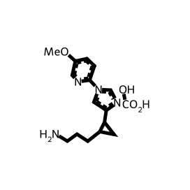 COc1ccc(-n2cnc(C3CC3CCCN)c2)nc1.O=C(O)O